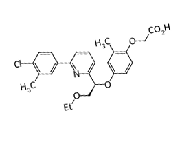 CCOC[C@H](Oc1ccc(OCC(=O)O)c(C)c1)c1cccc(-c2ccc(Cl)c(C)c2)n1